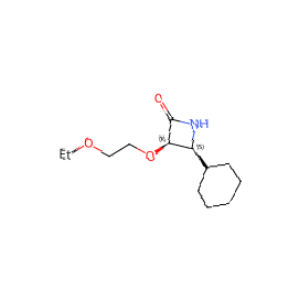 CCOCCO[C@H]1C(=O)N[C@H]1C1CCCCC1